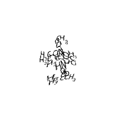 CCc1c(Cl)cc(NCC(=O)OC(C)(C)C)c(CC)c1NC(=O)N(Cc1ccc(OC)cc1)c1ccc(C(C)C)cc1